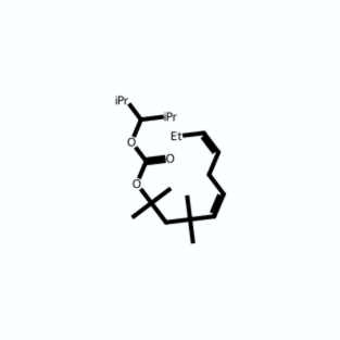 CC/C=C\C/C=C\C(C)(C)CC(C)(C)OC(=O)OC(C(C)C)C(C)C